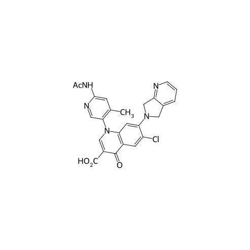 CC(=O)Nc1cc(C)c(-n2cc(C(=O)O)c(=O)c3cc(Cl)c(N4Cc5cccnc5C4)cc32)cn1